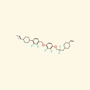 C=CC1CCC(CC(F)(F)COc2ccc(OCc3ccc(C4CCC(/C=C/C)CC4)c(F)c3F)c(F)c2F)CC1